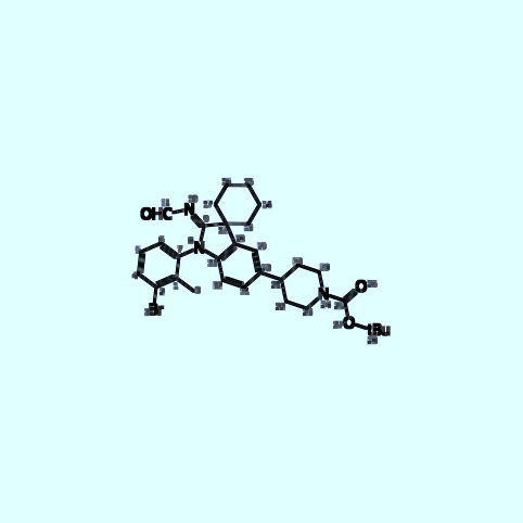 Cc1c(Br)cccc1N1/C(=N\C=O)C2(CCCCC2)c2cc(C3CCN(C(=O)OC(C)(C)C)CC3)ccc21